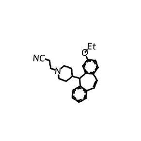 CCOc1ccc2c(c1)C(C1CCN(CCC#N)CC1)c1ccccc1C=C2